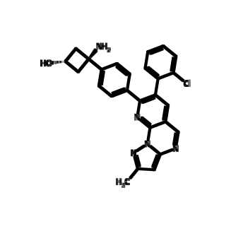 Cc1cc2ncc3cc(-c4ccccc4Cl)c(-c4ccc([C@]5(N)C[C@H](O)C5)cc4)nc3n2n1